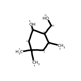 CC1CC(C)(C)CC(O)C1CO